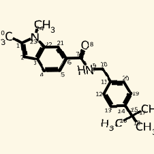 Cc1cc2ccc(C(=O)NCc3ccc(C(C)(C)C)cc3)cc2n1C